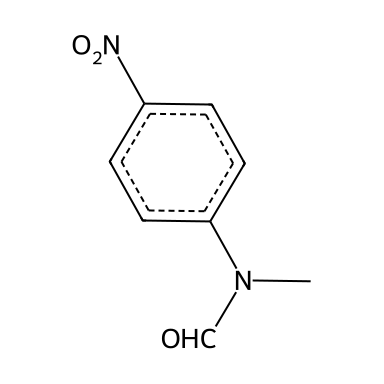 CN(C=O)c1ccc([N+](=O)[O-])cc1